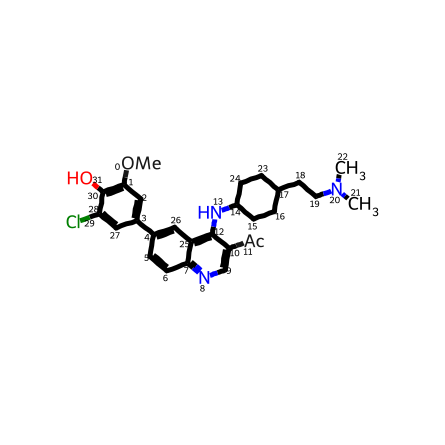 COc1cc(-c2ccc3ncc(C(C)=O)c(NC4CCC(CCN(C)C)CC4)c3c2)cc(Cl)c1O